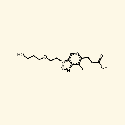 Cc1c(CCC(=O)O)ccc2c1nnn2CCOCCCO